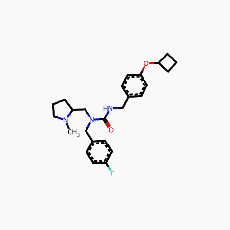 CN1CCCC1CN(Cc1ccc(F)cc1)C(=O)NCc1ccc(OC2CCC2)cc1